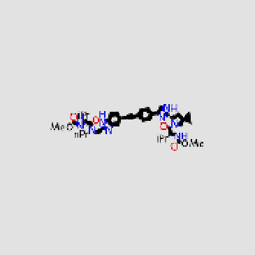 CCCN(Cc1nc2cc(C#Cc3ccc(-c4c[nH]c([C@@H]5CC6(CC6)CN5C(=O)[C@@H](NC(=O)OC)C(C)C)n4)cc3)ccc2[nH]1)C(=O)[C@@H](NC(=O)OC)C(C)C